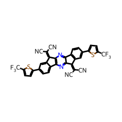 N#CC(C#N)=C1c2cc(-c3ccc(C(F)(F)F)s3)ccc2-c2nc3c(nc21)-c1ccc(-c2ccc(C(F)(F)F)s2)cc1C3=C(C#N)C#N